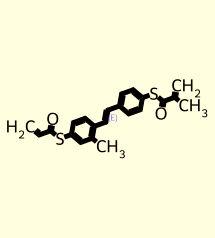 C=CC(=O)Sc1ccc(/C=C/c2ccc(SC(=O)C(=C)C)cc2)c(C)c1